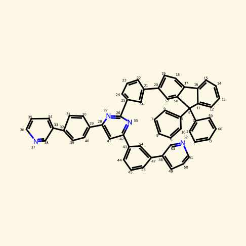 c1ccc(C2(c3ccccc3)c3ccccc3-c3ccc(-c4cccc(-c5nc(-c6ccc(-c7cccnc7)cc6)cc(-c6cccc(-c7cccnc7)c6)n5)c4)cc32)cc1